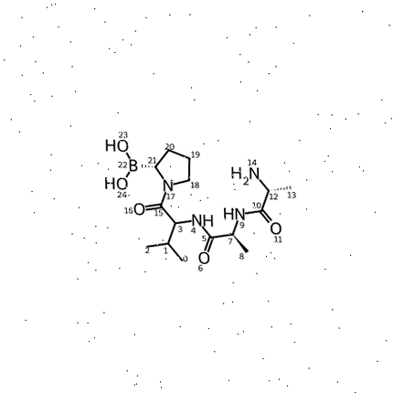 CC(C)C(NC(=O)[C@H](C)NC(=O)[C@@H](C)N)C(=O)N1CCC[C@H]1B(O)O